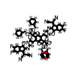 N#CC(C#N)=C1/C(=N/c2nc3c(s2)-c2cc4c(cc2C(C(=O)OCc2ccccc2)(C(=O)OCc2ccccc2)O3)-c2sc(/N=C3\C(=O)c5cc(F)c(F)cc5C3=C(C#N)C#N)nc2OC4(C(=O)OCc2ccccc2)C(=O)OCc2ccccc2)C(=O)c2cc(F)c(F)cc21